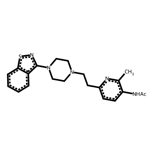 CC(=O)Nc1ccc(CCN2CCN(c3nsc4ccccc34)CC2)nc1C